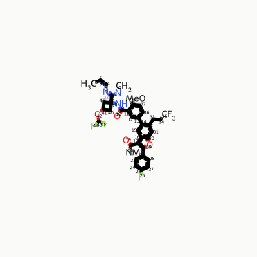 C=N/C(=N\C=C/C)C1(NC(=O)c2cc(-c3cc4c(C(=O)NC)c(-c5ccc(F)cc5)oc4cc3CCC(F)(F)F)ccc2OC)CC(OC(F)F)C1